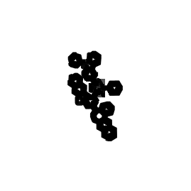 c1ccc(-c2nc(-c3ccc4c(c3)c3ccccc3n4-c3ccccc3)nc(-c3cc(C4CCc5cc6ccccc6cc5-c5ccccc54)cc4oc5cc6ccccc6cc5c34)n2)cc1